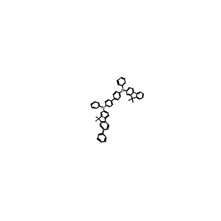 CC1(C)c2ccccc2-c2ccc(N(c3ccccc3)c3ccc(-c4ccc(N(c5ccccc5)c5ccc6c(c5)C(C)(C)c5cc(-c7ccccc7)ccc5-6)cc4)cc3)cc21